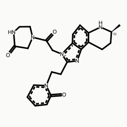 C[C@H]1CCc2c(ccc3c2nc(CCn2ccccc2=O)n3CC(=O)N2CCNC(=O)C2)N1